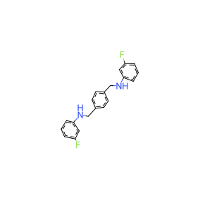 Fc1cccc(NCc2ccc(CNc3cccc(F)c3)cc2)c1